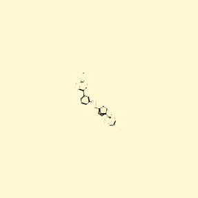 CCOc1ncc(-c2cccc(NCC34CCC(c5ncc(Br)cn5)(CC3)C4)c2)cn1